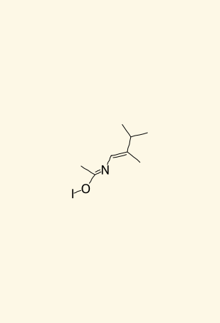 C/C(=C\N=C(/C)OI)C(C)C